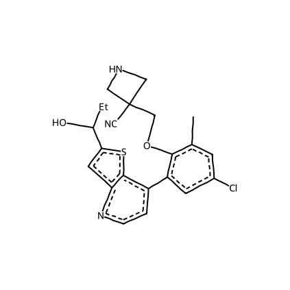 CCC(O)c1cc2nccc(-c3cc(Cl)cc(C)c3OCC3(C#N)CNC3)c2s1